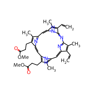 C=CC1=C(C)c2nc1cc1[nH]c(cc3nc(cc4[nH]c(n2)c(C=C)c4C)C(C)=C3CCC(=O)OC)c(CCC(=O)OC)c1C